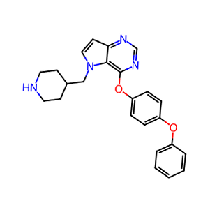 c1ccc(Oc2ccc(Oc3ncnc4ccn(CC5CCNCC5)c34)cc2)cc1